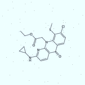 CCOC(=O)Cn1c2nc(NC3CC3)ccc2c(=O)c2ccc(Cl)c(SC)c21